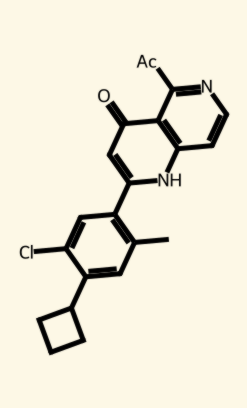 CC(=O)c1nccc2[nH]c(-c3cc(Cl)c(C4CCC4)cc3C)cc(=O)c12